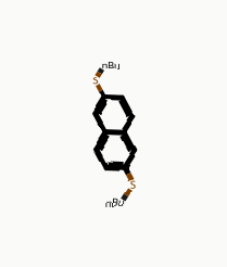 CCCCSc1ccc2cc(SCCCC)ccc2c1